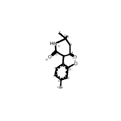 CC1(C)CC(=O)C(c2ccc(Br)cc2Cl)C(=O)N1